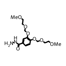 COCCOCOc1ccc(C(=O)NN)cc1OCOCCOC